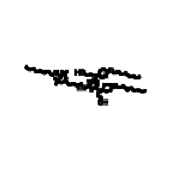 CCCCCCCCON1CCC(N(CCO)c2nc(NCCCCC3CC(C)(C)N(OCCCCCCCC)C(C)(C)C3)nc(N(CCO)C3CCN(OCCCCCCCC)CC3)n2)CC1